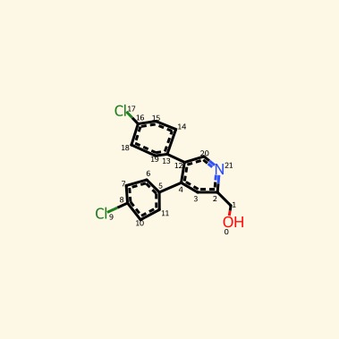 OCc1cc(-c2ccc(Cl)cc2)c(-c2ccc(Cl)cc2)cn1